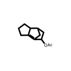 CC(=O)OC1CC2CC1=C1CCCC12